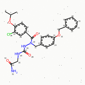 CC(C)Oc1ccc(C(=O)N(Cc2ccc(OCc3ccccc3)cc2)NC(=O)NCC(N)=O)cc1Cl